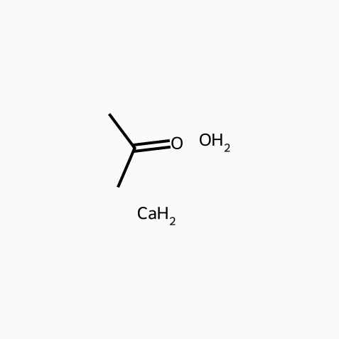 CC(C)=O.O.[CaH2]